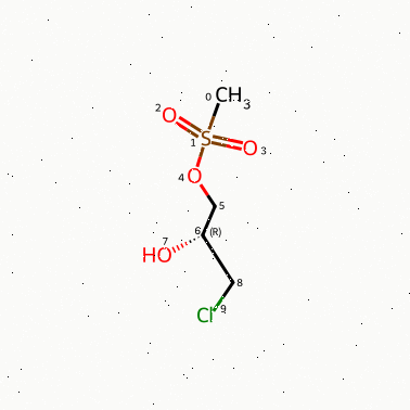 CS(=O)(=O)OC[C@@H](O)CCl